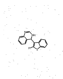 Fc1sc2ccccc2c1C1NC=Nc2ccccc21